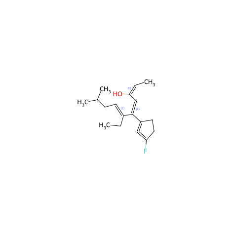 C\C=C(O)/C=C(C1=C=C(F)CC1)\C(=C\CC(C)C)CC